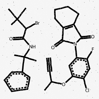 C#CC(C)Oc1cc(N2C(=O)C3=C(CCCC3)C2=O)c(F)cc1Cl.CC(C)(NC(=O)C(Br)C(C)(C)C)c1ccccc1